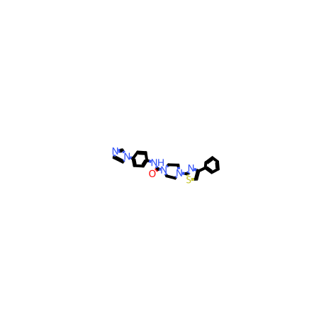 O=C(Nc1ccc(-n2ccnc2)cc1)N1CCN(c2nc(-c3ccccc3)cs2)CC1